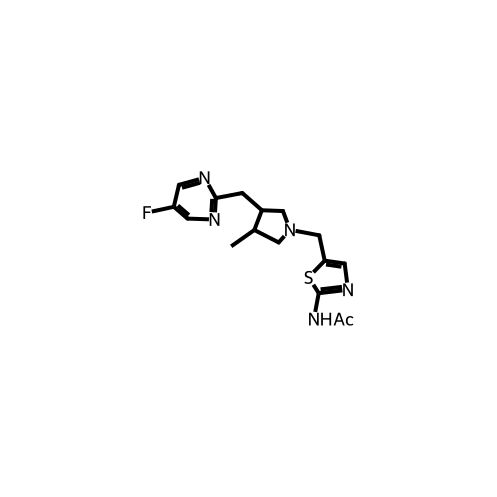 CC(=O)Nc1ncc(CN2CC(C)C(Cc3ncc(F)cn3)C2)s1